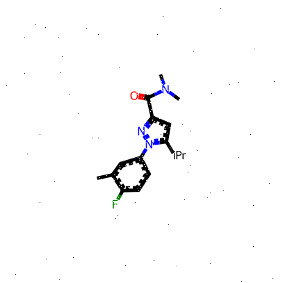 Cc1cc(-n2nc(C(=O)N(C)C)cc2C(C)C)ccc1F